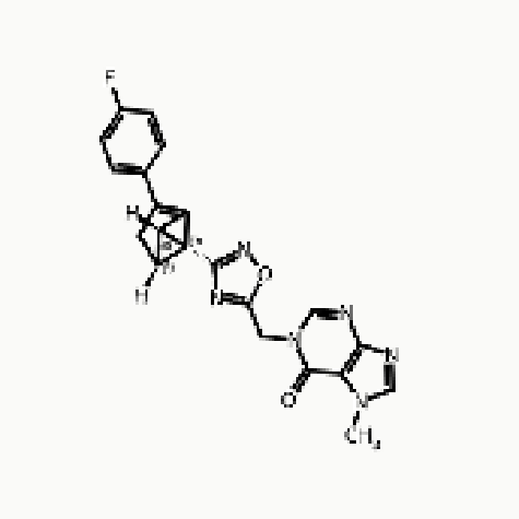 Cn1cnc2ncn(Cc3nc([C@]45C6=C(c7ccc(F)cc7)C[C@@H]4[C@H]65)no3)c(=O)c21